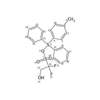 Cc1ccc(S(OS(=O)(=O)C(F)(F)CO)(c2ccccc2)c2ccccc2)cc1